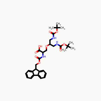 CC(C)(C)OC(=O)NCC(CNC(=O)OC(C)(C)C)OCC(NC(=O)OCC1c2ccccc2-c2ccccc21)C(=O)O